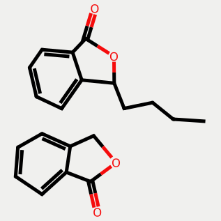 CCCCC1OC(=O)c2ccccc21.O=C1OCc2ccccc21